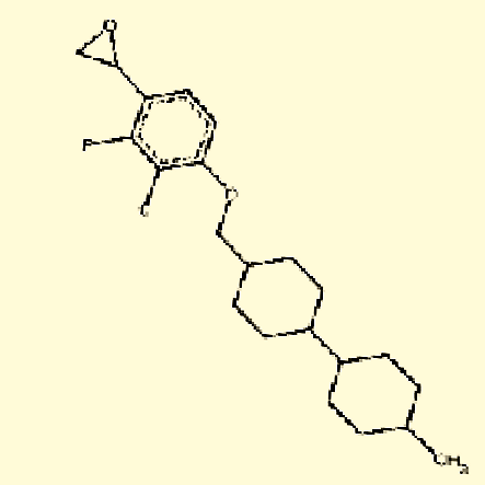 CC1CCC(C2CCC(COc3ccc(C4CO4)c(F)c3Cl)CC2)CC1